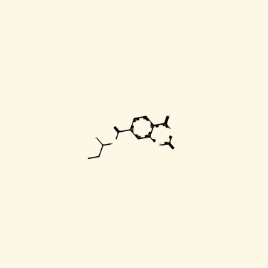 CCC(Cl)OC(=O)c1ccc2c(=O)[nH]c(=O)[nH]c2c1